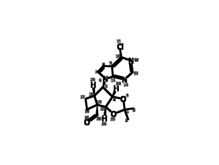 CC1(C)O[C@H]2[C@H](n3ccc4c(Cl)ncnc43)[C@H]3CC[C@@]3(C=O)[C@H]2O1